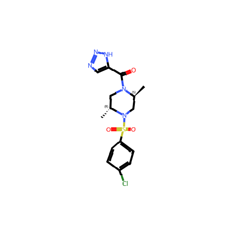 C[C@@H]1CN(C(=O)c2cnn[nH]2)[C@@H](C)CN1S(=O)(=O)c1ccc(Cl)cc1